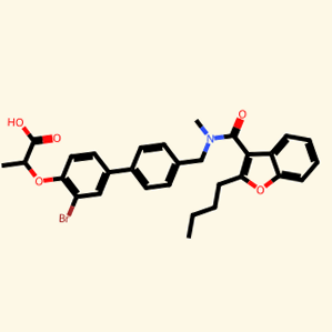 CCCCc1oc2ccccc2c1C(=O)N(C)Cc1ccc(-c2ccc(OC(C)C(=O)O)c(Br)c2)cc1